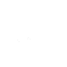 O=Cc1ccc(NCc2cc(C(F)(F)F)ccn2)cc1